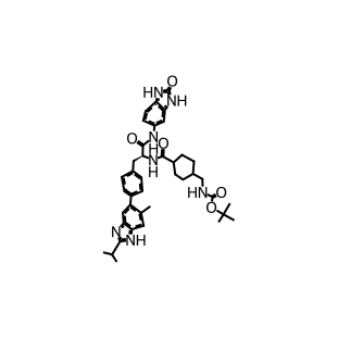 Cc1cc2[nH]c(C(C)C)nc2cc1-c1ccc(C[C@H](NC(=O)C2CCC(CNC(=O)OC(C)(C)C)CC2)C(=O)Nc2ccc3[nH]c(=O)[nH]c3c2)cc1